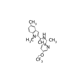 C=C(N[C@H](C)c1ccc(OCC(F)(F)F)cn1)c1cc2cc(C)ccc2n1C